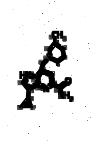 C[C@H]1CCCN(Cc2cc(C(N)=O)nc3c(C4CC4)c[nH]c23)C1